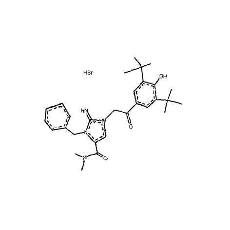 Br.CN(C)C(=O)c1cn(CC(=O)c2cc(C(C)(C)C)c(O)c(C(C)(C)C)c2)c(=N)n1Cc1ccccc1